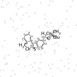 Cc1ccccc1-c1c(Cl)sc2ccc(CO[Si](C)(C)C(C)(C)C)cc12